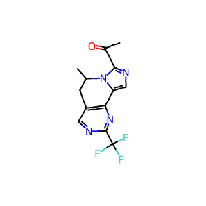 CC(=O)c1ncc2n1C(C)Cc1cnc(C(F)(F)F)nc1-2